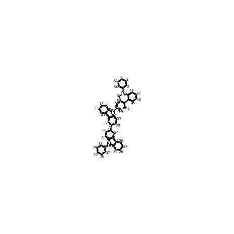 c1ccc(N2Cc3cc(-n4c5ccccc5c5cc(-c6ccc7c(c6)c6ccccc6n7-c6ccccc6)ccc54)ncc3-c3ccccc32)cc1